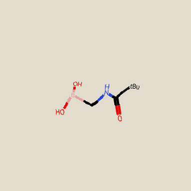 CC(C)(C)C(=O)NCB(O)O